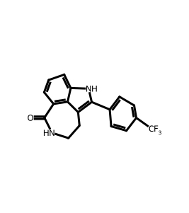 O=C1NCCc2c(-c3ccc(C(F)(F)F)cc3)[nH]c3cccc1c23